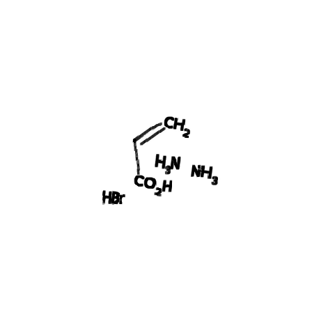 Br.C=CC(=O)O.N.N